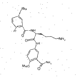 CCc1ccc(C(C)CC)cc1C(=O)N[C@@H](CCCCN)C(=O)Nc1ccc(OC)c(C(N)=O)c1